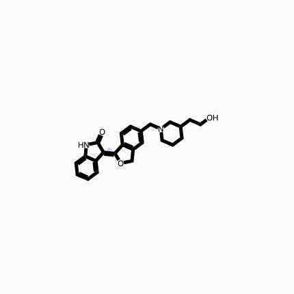 O=C1Nc2ccccc2/C1=C1\OCc2cc(CN3CCCC(CCO)C3)ccc21